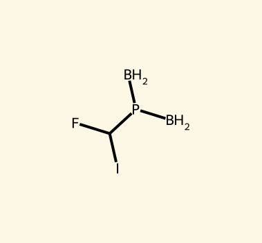 BP(B)C(F)I